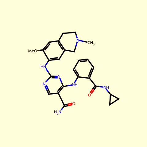 COc1cc2c(cc1Nc1ncc(C(N)=O)c(Nc3ccccc3C(=O)NC3CC3)n1)CN(C)CC2